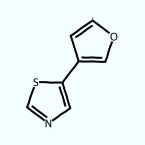 [c]1cc(-c2cncs2)co1